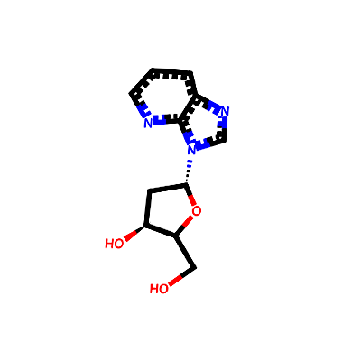 OCC1O[C@@H](n2cnc3cccnc32)C[C@@H]1O